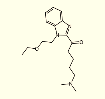 CCOCCn1c(C(=O)CCCCN(C)C)nc2ccccc21